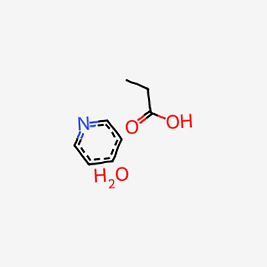 CCC(=O)O.O.c1ccncc1